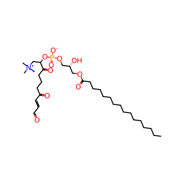 CCCCCCCCCCCCCCCC(=O)OC[C@@H](O)COP(=O)([O-])OC(C[N+](C)(C)C)C(=O)CCCC(=O)C=CC=O